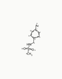 CC(=O)c1ccc(CNS(C)(=O)=O)cc1